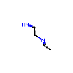 CC=NCC=N